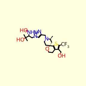 C[C@H]1C[C@@]2(CCN1Cc1cn(CC(NO)C(C)(C)O)nn1)OCCc1c2sc(C(F)(F)F)c1CO